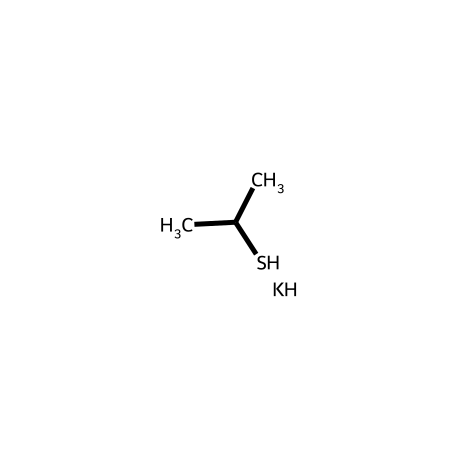 CC(C)S.[KH]